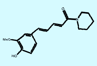 COc1cc(/C=C/C=C/C(=O)N2CCCCC2)ccc1O